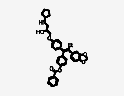 CCC(=C(c1ccc(OCC(O)CNC2CCCC2)cc1)c1ccc(OC(=O)c2ccccc2)cc1)c1ccc2c(c1)OCO2